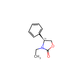 CCN1C(=O)OC[C@@H]1c1ccccc1